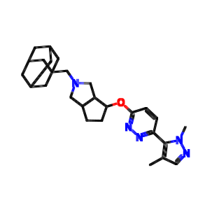 Cc1cnn(C)c1-c1ccc(OC2CCC3CN(CC45CC6CC(CC(C6)C4)C5)CC32)nn1